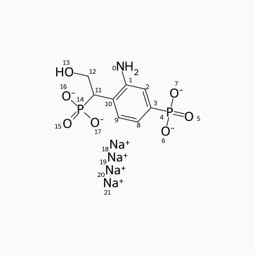 Nc1cc(P(=O)([O-])[O-])ccc1C(CO)P(=O)([O-])[O-].[Na+].[Na+].[Na+].[Na+]